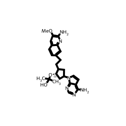 COc1cc2ccc(CCC3CC(n4ccc5c(N)ncnc54)C[C@@H]3OC(C)(C)O)cc2nc1N